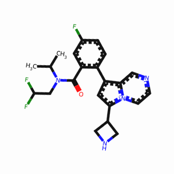 CC(C)N(CC(F)F)C(=O)c1cc(F)ccc1-c1cc(C2CNC2)n2ccncc12